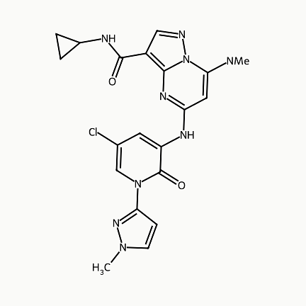 CNc1cc(Nc2cc(Cl)cn(-c3ccn(C)n3)c2=O)nc2c(C(=O)NC3CC3)cnn12